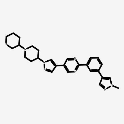 Cn1cc(-c2cccc(-c3ncc(-c4cnn(C5CCN(C6CCCOC6)CC5)c4)cn3)c2)cn1